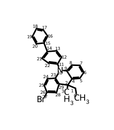 CCC1(C)c2ccccc2N(c2ccc(-c3ccccc3)cc2)c2ccc(Br)cc21